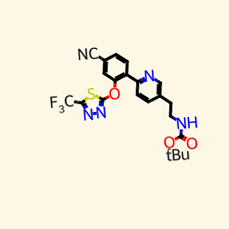 CC(C)(C)OC(=O)NCCc1ccc(-c2ccc(C#N)cc2Oc2nnc(C(F)(F)F)s2)nc1